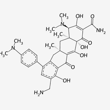 CN(C)c1ccc(-c2cc(CN)c(O)c3c2C[C@@]2(C)C[C@@]4(C)[C@@H](N(C)C)C(O)=C(C(N)=O)C(=O)[C@@]4(O)C(O)=C2C3=O)cc1